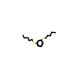 CCCCCSc1[c]ccc(SCCCCC)c1